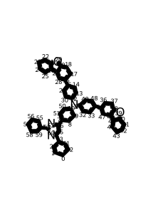 c1ccc(-c2cc(-c3ccc(N(c4ccc(-c5ccc6oc7ccccc7c6c5)cc4)c4ccc(-c5ccc6oc7ccccc7c6c5)cc4)cc3)nc(-c3ccccc3)n2)cc1